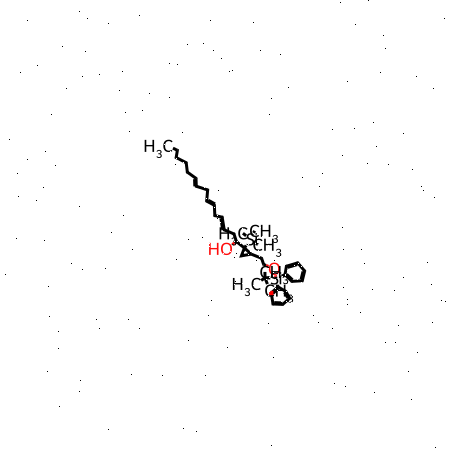 CCCCCC=CCC=CCC=CCC(O)C1([Si](C)(C)C)CC1CCO[Si](c1ccccc1)(c1ccccc1)C(C)(C)C